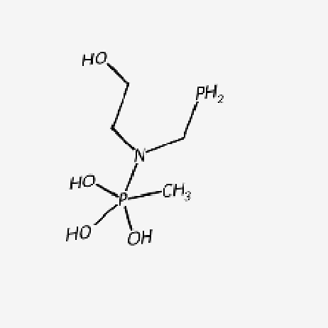 CP(O)(O)(O)N(CP)CCO